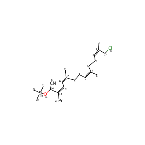 CC(=CCCC(C)=CCCC(C)=CC=C(C(C)C)C(C#N)O[Si](C)(C)C)CCl